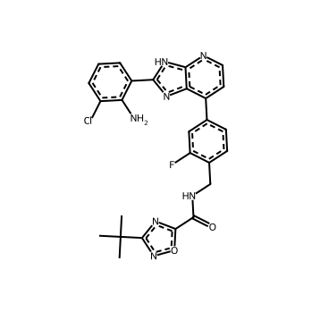 CC(C)(C)c1noc(C(=O)NCc2ccc(-c3ccnc4[nH]c(-c5cccc(Cl)c5N)nc34)cc2F)n1